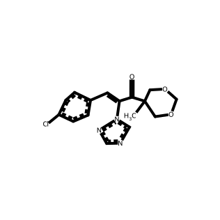 CC1(C(=O)C(=Cc2ccc(Cl)cc2)n2cncn2)COCOC1